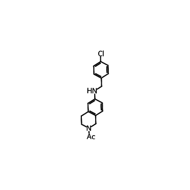 CC(=O)N1CCc2cc(NCc3ccc(Cl)cc3)ccc2C1